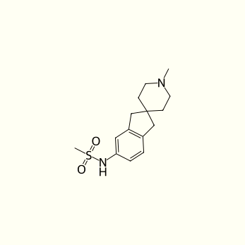 CN1CCC2(CC1)Cc1ccc(NS(C)(=O)=O)cc1C2